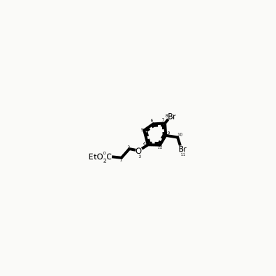 CCOC(=O)CCOc1ccc(Br)c(CBr)c1